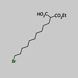 CCOC(=O)C(CCCCCCCCCCBr)C(=O)O